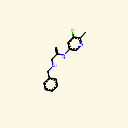 C=C(CNCc1ccccc1)Nc1cnc(C)c(Cl)c1